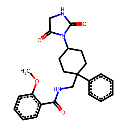 COc1ccccc1C(=O)NCC1(c2ccccc2)CCC(N2C(=O)CNC2=O)CC1